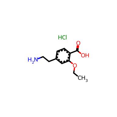 CCOc1cc(CCN)ccc1C(=O)O.Cl